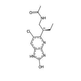 CC[C@H](CNC(C)=O)c1nc2nc(O)[nH]c2cc1Cl